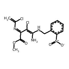 C=C(Cl)/N=C(C(=O)OC)\C(Cl)=C(/N)NCc1ccccc1[N+](=O)[O-]